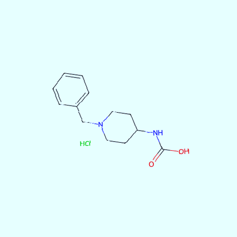 Cl.O=C(O)NC1CCN(Cc2ccccc2)CC1